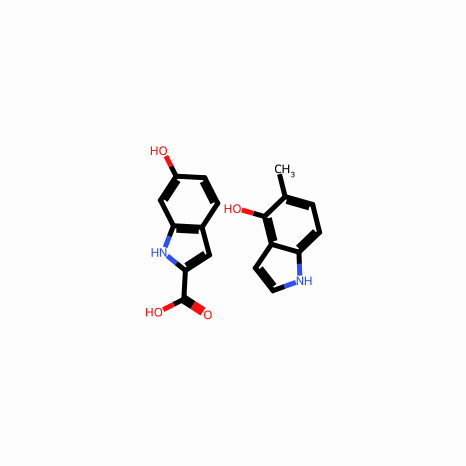 Cc1ccc2[nH]ccc2c1O.O=C(O)c1cc2ccc(O)cc2[nH]1